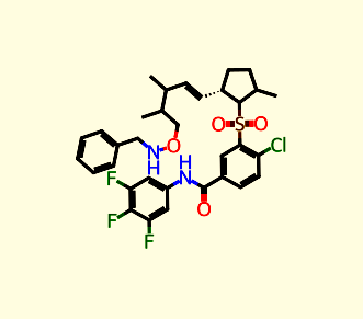 CC(C=C[C@@H]1CCC(C)C1S(=O)(=O)c1cc(C(=O)Nc2cc(F)c(F)c(F)c2)ccc1Cl)C(C)CONCc1ccccc1